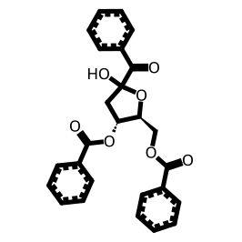 O=C(OC[C@@H]1OC(O)(C(=O)c2ccccc2)C[C@H]1OC(=O)c1ccccc1)c1ccccc1